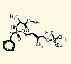 CC(C)OC(=O)[C@H](C)NP(=O)(OC/C=C(/CO[Si](C)(C)C(C)(C)C)C(F)(F)F)Oc1ccccc1